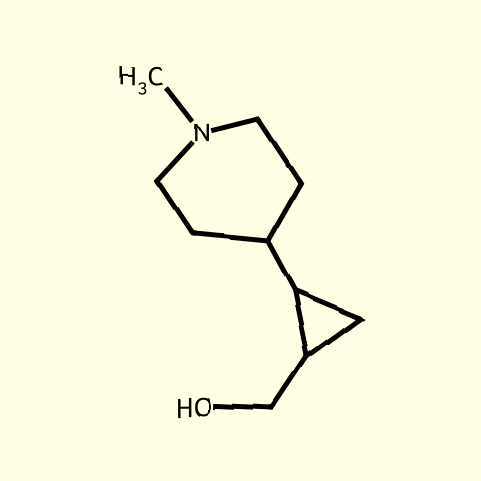 CN1CCC(C2CC2CO)CC1